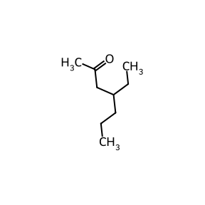 CCCC(CC)CC(C)=O